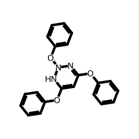 C1=C(Oc2ccccc2)NN(Oc2ccccc2)N=C1Oc1ccccc1